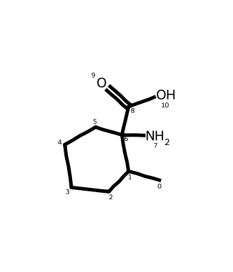 CC1CCCCC1(N)C(=O)O